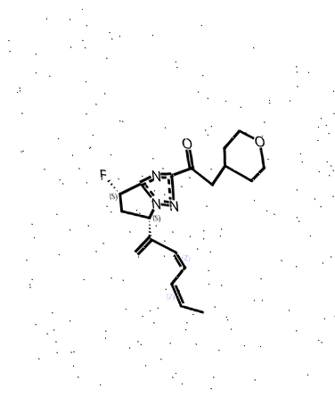 C=C(/C=C\C=C/C)[C@@H]1C[C@H](F)c2nc(C(=O)CC3CCOCC3)nn21